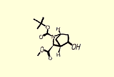 COC(=O)[C@@H]1[C@@H]2C[C@@H](CC2O)N1C(=O)OC(C)(C)C